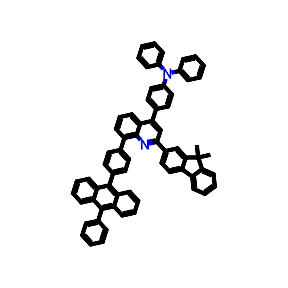 CC1(C)c2ccccc2-c2ccc(-c3cc(-c4ccc(N(c5ccccc5)c5ccccc5)cc4)c4cccc(-c5ccc(-c6c7ccccc7c(-c7ccccc7)c7ccccc67)cc5)c4n3)cc21